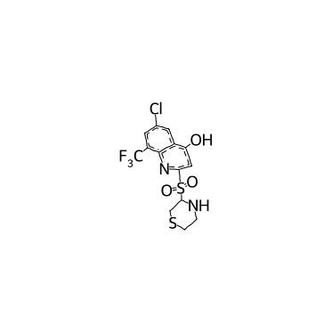 O=S(=O)(c1cc(O)c2cc(Cl)cc(C(F)(F)F)c2n1)C1CSCCN1